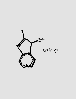 CC1=Cc2ccccc2[CH]1[Zr+3].[Cl-].[Cl-].[Cl-]